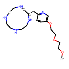 CCOCCOCCOc1ccc(C[C@H]2CNCCNCCNCCN2)nc1